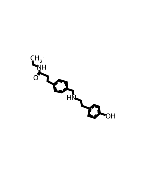 [CH2]CNC(=O)CCc1ccc(CNCCc2ccc(O)cc2)cc1